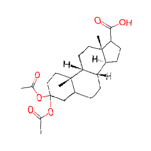 CC(=O)OC1(OC(C)=O)CC[C@@]2(C)C(CC[C@@H]3[C@H]2CC[C@]2(C)C(C(=O)O)CC[C@@H]32)C1